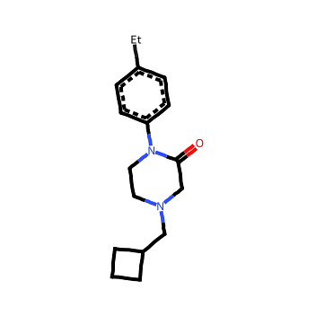 CCc1ccc(N2CCN(CC3CCC3)CC2=O)cc1